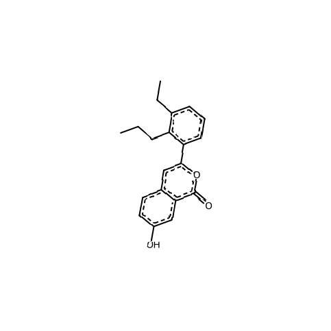 CCCc1c(CC)cccc1-c1cc2ccc(O)cc2c(=O)o1